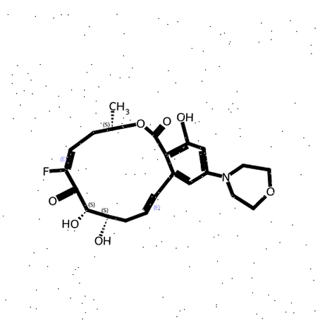 C[C@H]1C/C=C(/F)C(=O)[C@@H](O)[C@@H](O)C/C=C/c2cc(N3CCOCC3)cc(O)c2C(=O)O1